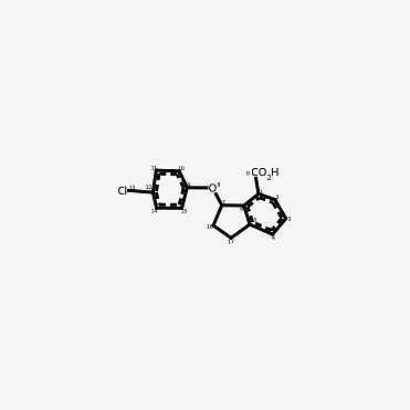 O=C(O)c1cccc2c1C(Oc1ccc(Cl)cc1)CC2